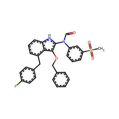 CS(=O)(=O)c1cccc(N(C=O)c2[nH]c3cccc(Cc4ccc(F)cc4)c3c2OCc2ccccc2)c1